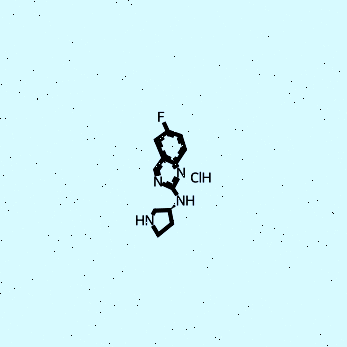 Cl.Fc1ccc2nc(N[C@@H]3CCNC3)ncc2c1